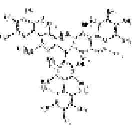 Bc1c(B)c(B)c(-c2c(B)c(B)c(N(c3c(B)c(B)c(-c4c(B)c(B)c(B)c(B)c4B)c(B)c3B)c3c(B)c(B)c4c(cc(B)c5c(B)c(B)c(B)c(B)c54)c3B)c(B)c2B)c(B)c1B